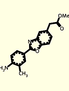 COC(=O)Cc1ccc2oc(-c3ccc(N)c(C)c3)nc2c1